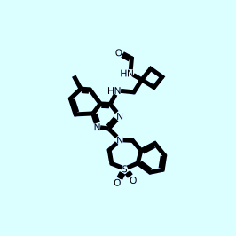 Cc1ccc2nc(N3CCS(=O)(=O)c4ccccc4C3)nc(NCC3(NC=O)CCC3)c2c1